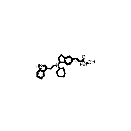 O=C(/C=C/c1ccc2c(c1)CCC2N(CCc1c[nH]c2ccccc12)C1CCCCC1)NO